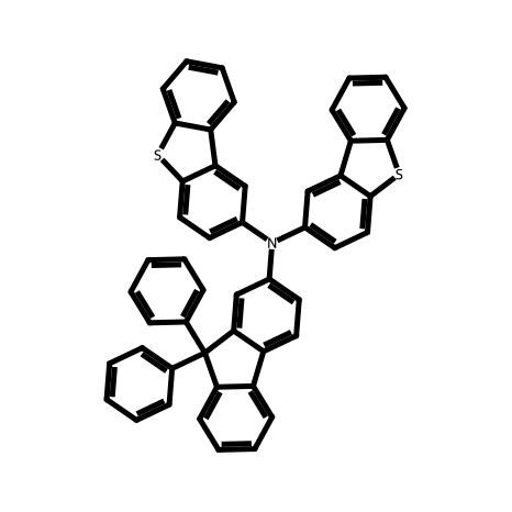 c1ccc(C2(c3ccccc3)c3ccccc3-c3ccc(N(c4ccc5sc6ccccc6c5c4)c4ccc5sc6ccccc6c5c4)cc32)cc1